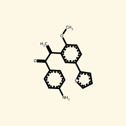 C=C(C(=O)c1ccc(N)cc1)c1cc(-c2cccs2)ccc1OC